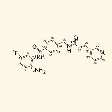 Nc1ccc(F)cc1NC(=O)c1ccc(CNC(=O)C=Cc2cccnc2)cc1